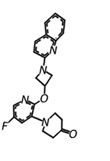 O=C1CCN(c2cc(F)cnc2OC2CN(c3ccc4ccccc4n3)C2)CC1